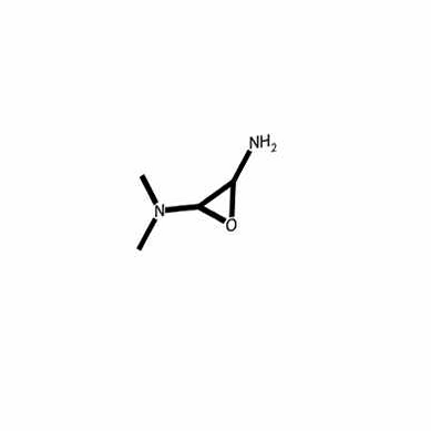 CN(C)C1OC1N